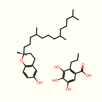 CC(C)CCCC(C)CCCC(C)CCC[C@]1(C)CCc2cc(O)ccc2O1.CCCc1c(C(=O)O)cc(O)c(O)c1O